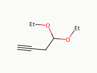 C#CCC(OCC)OCC